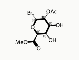 COC(=O)[C@H]1O[C@H](Br)[C@H](OC(C)=O)[C@@H](O)[C@@H]1O